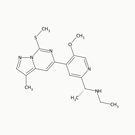 CCN[C@H](C)c1cc(-c2cc3c(C)cnn3c(SC)n2)c(OC)cn1